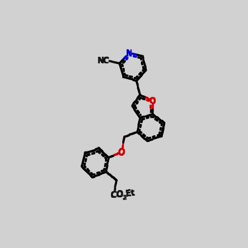 CCOC(=O)Cc1ccccc1OCc1cccc2oc(-c3ccnc(C#N)c3)cc12